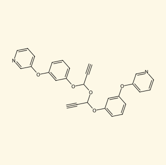 C#CC(Oc1cccc(Oc2cccnc2)c1)OC(C#C)Oc1cccc(Oc2cccnc2)c1